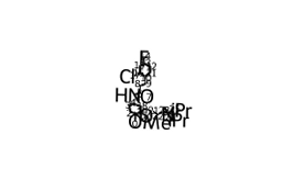 COc1ccc(NC(=O)C=Cc2ccc(F)cc2Cl)cc1OCCCN(C(C)C)C(C)C